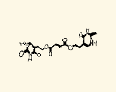 C=C1NC=C(CCOC(=O)/C=C/C(=O)OCCc2c[nH]c(=O)[nH]c2=O)C(=O)N1